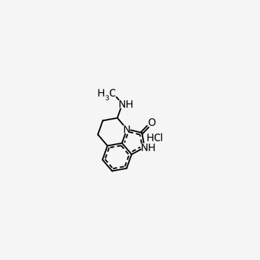 CNC1CCc2cccc3[nH]c(=O)n1c23.Cl